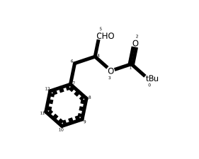 CC(C)(C)C(=O)OC(C=O)Cc1ccccc1